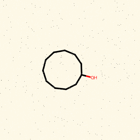 O[C]1CCCCCCCCCC1